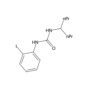 CCCC(CCC)NC(=O)Nc1ccccc1I